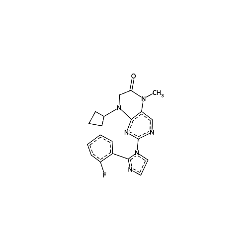 CN1C(=O)CN(C2CCC2)c2nc(-n3ccnc3-c3ccccc3F)ncc21